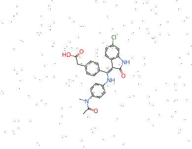 CC(=O)N(C)c1ccc(N/C(=C2\C(=O)Nc3cc(Cl)ccc32)c2ccc(CC(=O)O)cc2)cc1